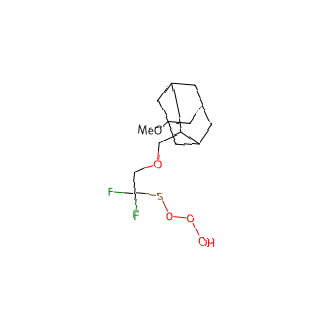 COC12CC3CC(C1)C(COCC(F)(F)SOOO)C(C3)C2